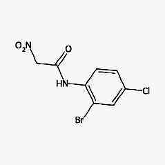 O=C(C[N+](=O)[O-])Nc1ccc(Cl)cc1Br